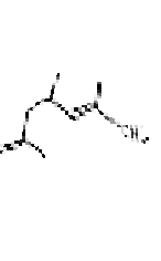 C/C=C(\C)CC(C)/C=C(\C)C=O